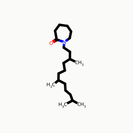 CC(C)CCCC(C)CCCC(C)CCN1CCCCCC1=O